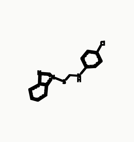 Clc1ccc(NCSn2cnc3ccccc32)cc1